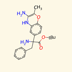 CC1=C(N)Nc2cc(C(N)(Cc3ccccc3)C(=O)OC(C)(C)C)ccc2O1